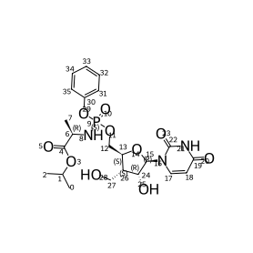 CC(C)OC(=O)[C@@H](C)N[P@](=O)(OC[C@H]1O[C@@H](n2ccc(=O)[nH]c2=O)[C@H](O)[C@@H]1CO)Oc1ccccc1